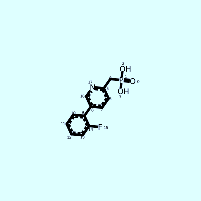 O=P(O)(O)Cc1ccc(-c2ccccc2F)cn1